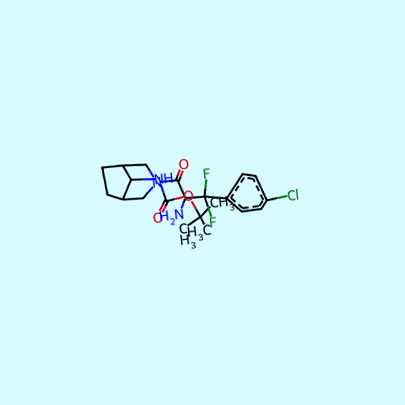 CC(C)(C)OC(=O)NC1C2CCC1CN(C(=O)C(N)C(F)(F)c1ccc(Cl)cc1)C2